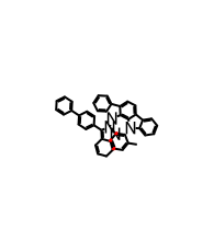 Cc1ccccc1-n1c2ccccc2c2ccc3c4ccccc4n(-n4nc5c(c4-c4ccc(-c6ccccc6)cc4)C=CCC5)c3c21